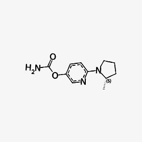 C[C@H]1CCCN1c1ccc(OC(N)=O)cn1